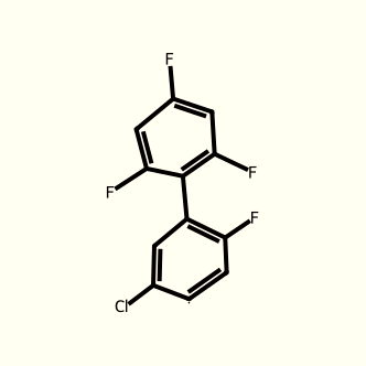 Fc1cc(F)c(-c2cc(Cl)[c]cc2F)c(F)c1